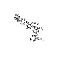 COc1c(Nc2ccc(CC(=O)N(C)C)nc2C)ncnc1OC1CCN(OC(=O)OC(C)C)CC1